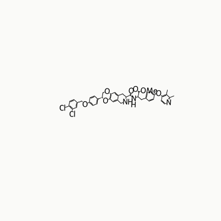 COC(=O)C(Cc1ccc(Oc2ccnc(C)c2C)cc1)NC(=O)C1Cc2cc3c(cc2CN1)O[C@@H](c1ccc(OCc2ccc(Cl)c(Cl)c2)cc1)CO3